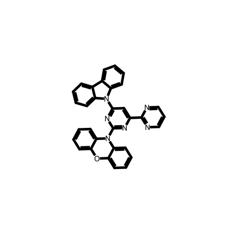 c1cnc(-c2cc(-n3c4ccccc4c4ccccc43)nc(N3c4ccccc4Oc4ccccc43)n2)nc1